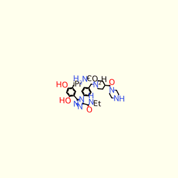 CCNC(=O)c1nnc(-c2cc(C(C)C)c(O)cc2O)n1-c1ccc(CN2CCC(C(=O)N3CCNCC3)CC2)cc1.NC(=O)O